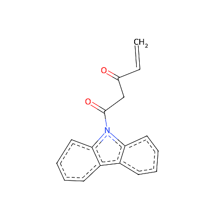 C=CC(=O)CC(=O)n1c2ccccc2c2ccccc21